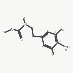 COC(=O)N(C)CCc1cc(C)c(O)c(C)c1